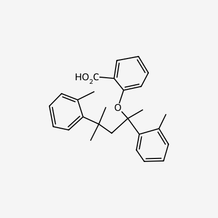 Cc1ccccc1C(C)(C)CC(C)(Oc1ccccc1C(=O)O)c1ccccc1C